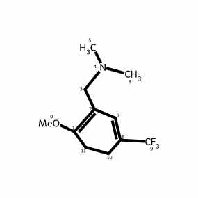 COC1=C(CN(C)C)C=C(C(F)(F)F)C[CH]1